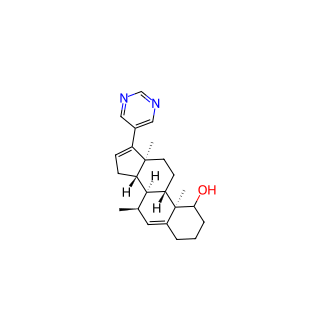 C[C@@H]1C=C2CCCC(O)[C@]2(C)[C@H]2CC[C@]3(C)C(c4cncnc4)=CC[C@H]3[C@H]12